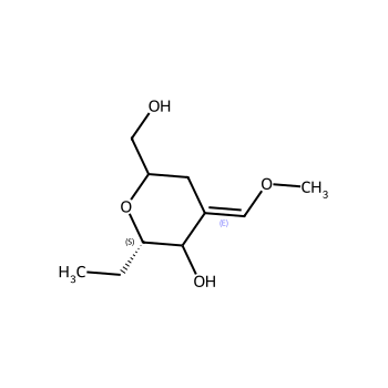 CC[C@@H]1OC(CO)C/C(=C\OC)C1O